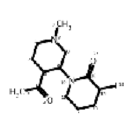 CC(=O)C1CCN(C)CC1N1CCCC(I)C1=O